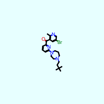 Cc1ncc(Br)cc1C(=O)c1cccc(N2CCCN(CCC(C)(C)C)CC2)n1